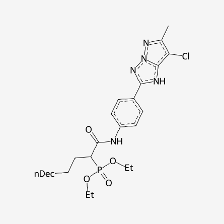 CCCCCCCCCCCCC(C(=O)Nc1ccc(-c2nn3nc(C)c(Cl)c3[nH]2)cc1)P(=O)(OCC)OCC